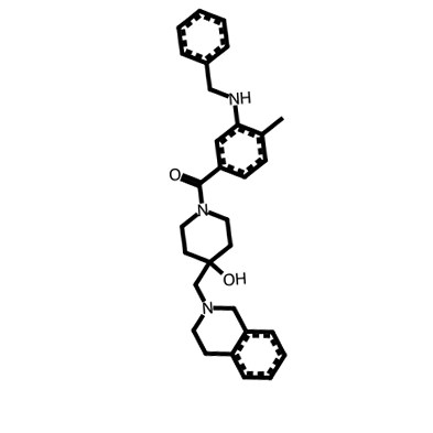 Cc1ccc(C(=O)N2CCC(O)(CN3CCc4ccccc4C3)CC2)cc1NCc1ccccc1